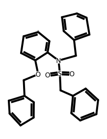 O=S(=O)(Cc1ccccc1)N(Cc1ccccc1)c1c[c]ccc1OCc1ccccc1